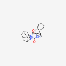 CC(=O)NC12CC3CC(C1)C(N1CC4(Cc5ccccc5C4)NC1=O)C(C3)C2